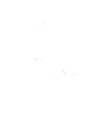 CC[C@H](c1ccccc1)N(C)C(=O)c1ccc(NC(=O)Cc2ccc(S(=O)(=O)CC)cc2)cc1